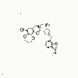 CC(C)CN(Cc1cc(Cl)c2c(c1)OCCCO2)C(=O)[C@@H]1CCN(Cc2cccc3[nH]cnc23)C1